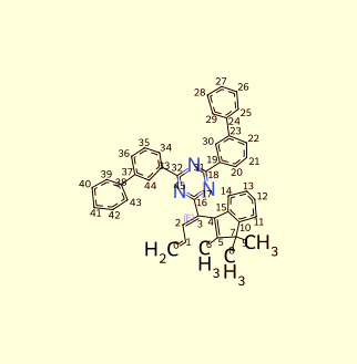 C=C/C=C(\C1=C(C)C(C)(C)c2ccccc21)c1nc(-c2cccc(-c3ccccc3)c2)nc(-c2cccc(-c3ccccc3)c2)n1